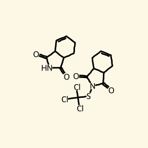 O=C1C2CC=CCC2C(=O)N1SC(Cl)(Cl)Cl.O=C1NC(=O)C2CCC=CC12